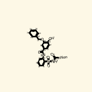 CCCCCCCCCC(=O)NS(=O)(=O)c1ccccc1NC(=O)c1ccc(O)c(OCc2ccccc2)c1